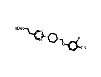 CCCCCCCCCCCCc1cnc([C@H]2CC[C@H](COc3ccc(C#N)c(F)c3)CC2)nc1